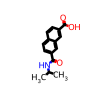 CC(C)NC(=O)c1ccc2ccc(C(=O)O)cc2c1